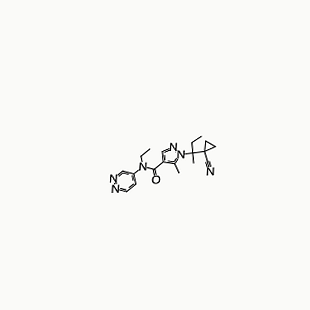 CCN(C(=O)c1cnn(C(C)(CC)C2(C#N)CC2)c1C)c1ccnnc1